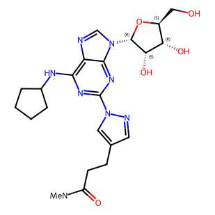 CNC(=O)CCc1cnn(-c2nc(NC3CCCC3)c3ncn([C@@H]4O[C@@H](CO)[C@H](O)[C@@H]4O)c3n2)c1